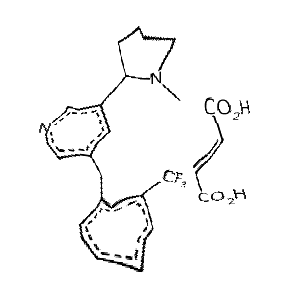 CN1CCCC1c1cncc(-c2ccccc2C(F)(F)F)c1.O=C(O)/C=C/C(=O)O